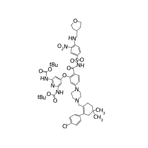 CC1(C)CCC(CN2CCN(c3ccc(C(=O)NS(=O)(=O)c4ccc(NCC5CCOCC5)c([N+](=O)[O-])c4)c(Oc4cc(NC(=O)OC(C)(C)C)nc(NC(=O)OC(C)(C)C)c4)c3)CC2)=C(c2ccc(Cl)cc2)C1